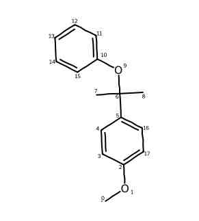 [CH2]Oc1ccc(C(C)(C)Oc2ccccc2)cc1